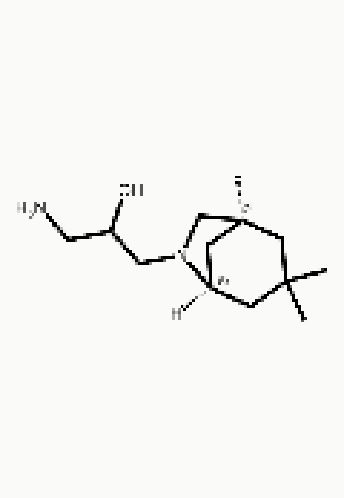 CC1(C)C[C@@H]2C[C@@](C)(CN2CC(O)CN)C1